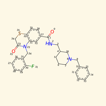 O=C(NCC1CCCN(Cc2ccccc2)C1)c1ccc2c(c1)N(Cc1ccccc1F)C(=O)CS2